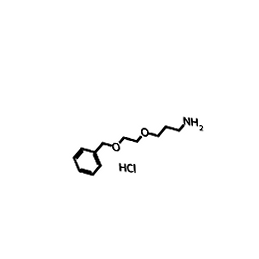 Cl.NCCCOCCOCc1ccccc1